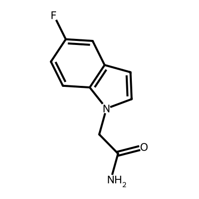 NC(=O)Cn1ccc2cc(F)ccc21